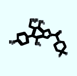 Cc1ccc(-c2c(C)c3c(c(C)c2CC(=O)O)CN(C(=O)N2CCC(F)(F)CC2)C3)cc1